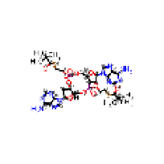 CC(C)(C)C(=O)SCCOP1(=O)OC[C@H]2O[C@@H](n3cnc4c(N)ncnc43)CC2P(=O)(OCCSC(=O)C(C)(C)C)OC[C@H]2O[C@@H](n3cnc4c(N)ncnc43)CC2O1